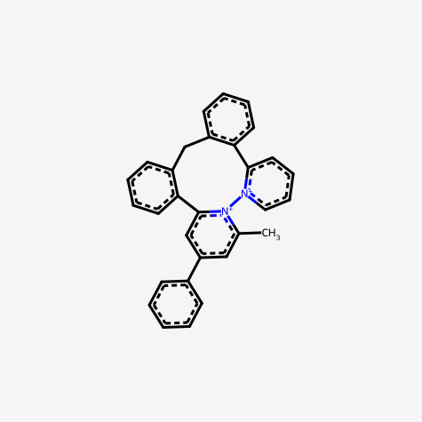 Cc1cc(-c2ccccc2)cc2[n+]1-[n+]1ccccc1-c1ccccc1Cc1ccccc1-2